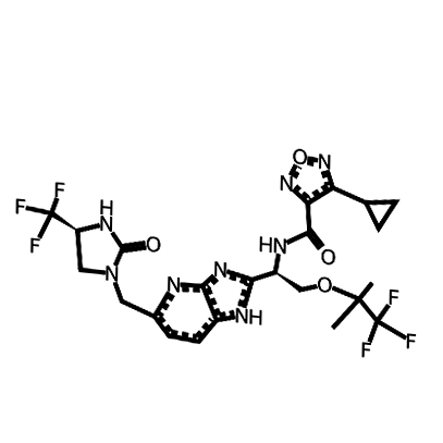 CC(C)(OC[C@H](NC(=O)c1nonc1C1CC1)c1nc2nc(CN3C[C@@H](C(F)(F)F)NC3=O)ccc2[nH]1)C(F)(F)F